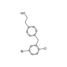 OCCc1ccc(Cc2cc(Br)ccc2Cl)cc1